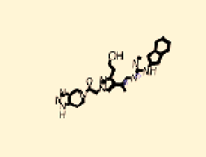 C=N/C(=N\C=C(/C)c1cn(CC(=O)N2CCc3[nH]nnc3C2)nc1CCO)NC1Cc2ccccc2C1